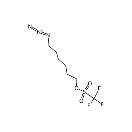 [N-]=[N+]=NCCCCCCOS(=O)(=O)C(F)(F)F